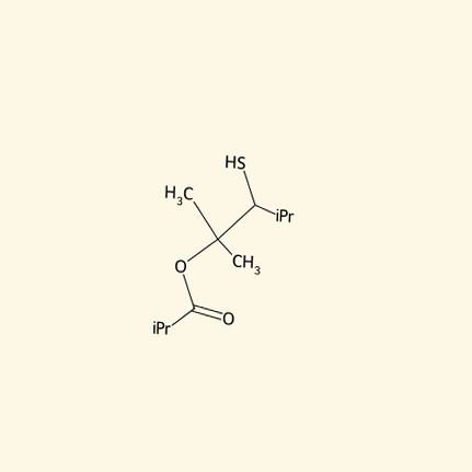 CC(C)C(=O)OC(C)(C)C(S)C(C)C